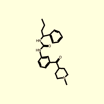 CCCC(NC(=O)Nc1cccc(C(=O)C2CCN(C)CC2)c1)c1ccccc1